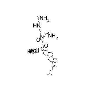 CC(C)CCC[C@@H](C)C1CCC2C3CC=C4CC(OC(=O)CCC(=O)N(CCCCNCCC(C)N)CCC(C)N)CCC4(C)C3CCC21C.Cl.Cl.Cl